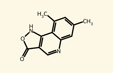 Cc1cc(C)c2c(c1)ncc1c(=O)o[nH]c12